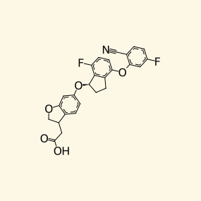 N#Cc1ccc(F)cc1Oc1ccc(F)c2c1CC[C@H]2Oc1ccc2c(c1)OCC2CC(=O)O